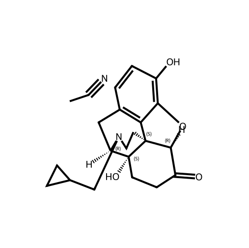 CC#N.O=C1CC[C@@]2(O)[C@H]3Cc4ccc(O)c5c4[C@@]2(CCN3CC2CC2)[C@H]1O5